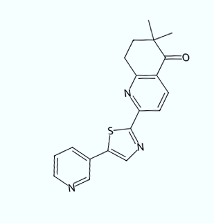 CC1(C)CCc2nc(-c3ncc(-c4cccnc4)s3)ccc2C1=O